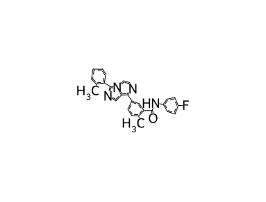 Cc1ccc(-c2nccn3c(-c4ccccc4C)ncc23)cc1C(=O)Nc1ccc(F)cc1